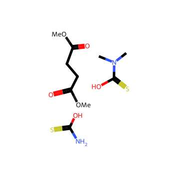 CN(C)C(O)=S.COC(=O)CCC(=O)OC.NC(O)=S